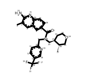 Cc1cc2cc(C(=O)N(Cc3ccc(C(F)(F)F)cn3)C[C@H]3CCOC[C@@H]3C)ccc2nc1N